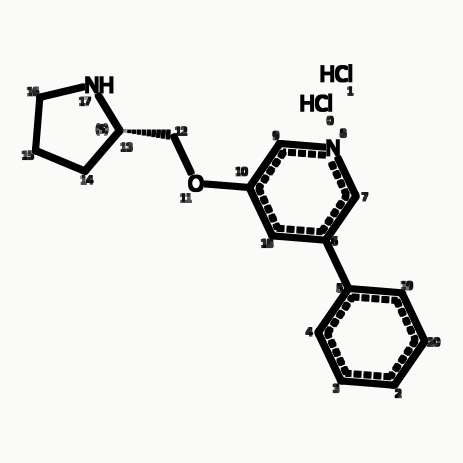 Cl.Cl.c1ccc(-c2cncc(OC[C@@H]3CCCN3)c2)cc1